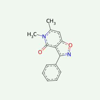 Cc1cc2onc(-c3ccccc3)c2c(=O)n1C